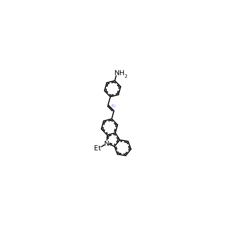 CCn1c2ccccc2c2cc(/C=C/c3ccc(N)cc3)ccc21